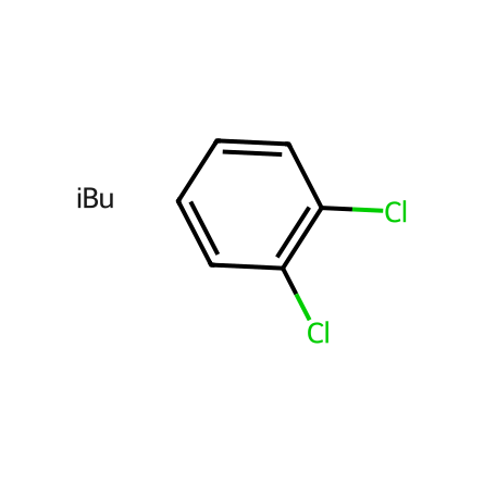 CC[C@H](C)c1ccc(Cl)c(Cl)c1